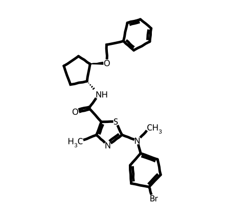 Cc1nc(N(C)c2ccc(Br)cc2)sc1C(=O)N[C@@H]1CCC[C@H]1OCc1ccccc1